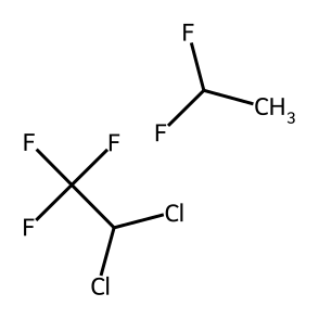 CC(F)F.FC(F)(F)C(Cl)Cl